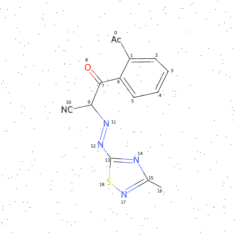 CC(=O)c1ccccc1C(=O)C(C#N)/N=N/c1nc(C)ns1